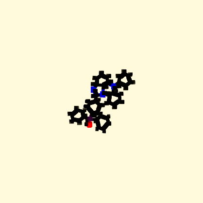 O=P(c1ccccc1)(c1ccccc1)c1ccc(-c2nc3cccc4c3n2-c2ccccc2N4c2ccccc2)cc1